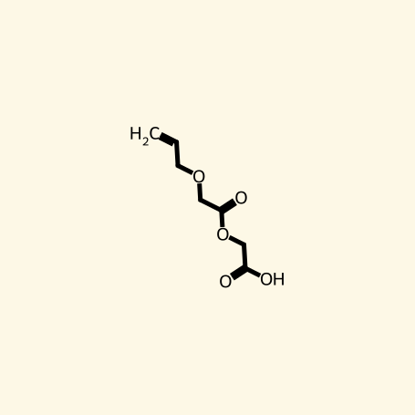 C=CCOCC(=O)OCC(=O)O